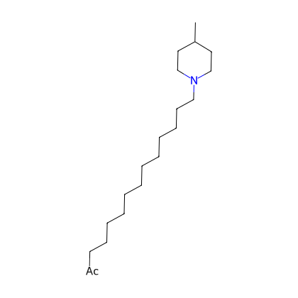 CC(=O)CCCCCCCCCCCCN1CCC(C)CC1